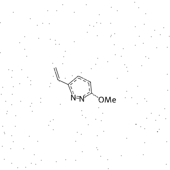 C=Cc1ccc(OC)nn1